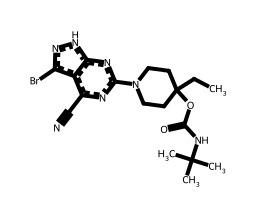 CCC1(OC(=O)NC(C)(C)C)CCN(c2nc(C#N)c3c(Br)n[nH]c3n2)CC1